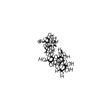 CC(=O)N[C@@H](CO)[C@@H](OC(CO)[C@H](C)O[C@H](O)O[C@H]1O[C@H](CO)[C@@H](O)C(O)C1O[C@@H]1OC(CO)[C@@H](O[C@@H]2OC(C)[C@H](O)C(O)[C@@H]2O)C(O)[C@@H]1NC(C)=O)O[C@@H]1C(CN=O)O[C@@H](C)[C@@H](NC(C)=O)C1O